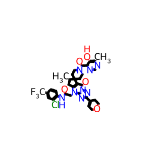 Cc1ncnc(C(=O)N2CCC3(CC2)c2c(n(CC(=O)Nc4ccc(C(F)(F)F)cc4Cl)c4nc(C5=CCOCC5)nn4c2=O)CC3C)c1O